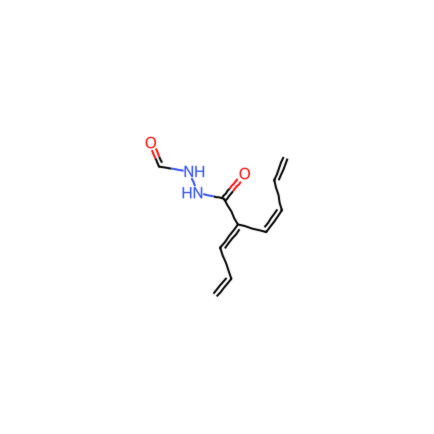 C=C/C=C\C(=C/C=C)C(=O)NNC=O